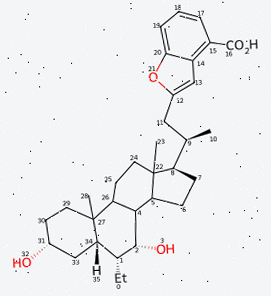 CC[C@H]1[C@@H](O)C2C3CC[C@H]([C@H](C)Cc4cc5c(C(=O)O)cccc5o4)C3(C)CCC2C2(C)CC[C@@H](O)C[C@@H]12